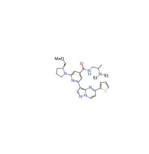 CCN(CC)C(C)CNC(=O)c1cc(-c2cnn3ccc(-c4cccs4)nc23)nc(N2CCC[C@H]2COC)c1